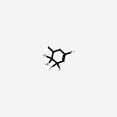 CC1CC(F)=CC(F)(F)C1(F)F